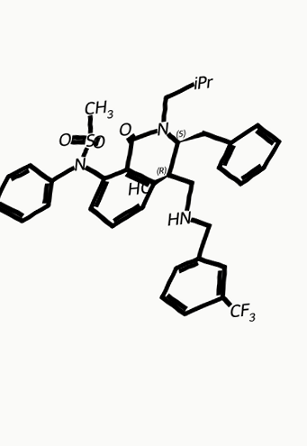 CC(C)CN(C(=O)c1ccccc1N(c1ccccc1)S(C)(=O)=O)[C@@H](Cc1ccccc1)[C@H](O)CNCc1cccc(C(F)(F)F)c1